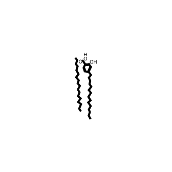 CCCCCCCCCCCCCCCCCC.CCCCCCCCCCCCCCCc1ccc(C(=O)O)c(O)c1